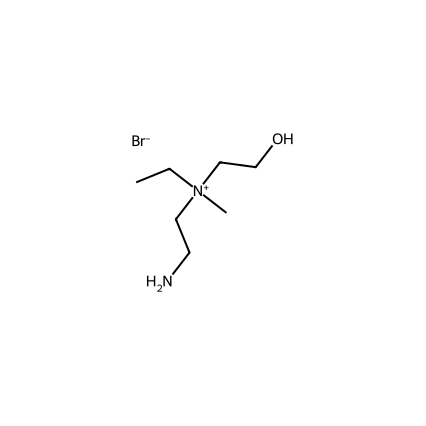 CC[N+](C)(CCN)CCO.[Br-]